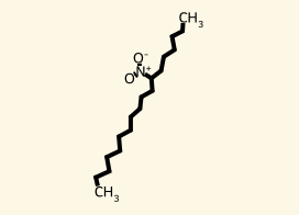 CCCCCCCCCCCC(CCCCCC)[N+](=O)[O-]